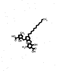 CCCCCCCCCCCCc1cc(Cc2cc(C)cc(C(=O)O)c2O)c(O)c(Cc2cc(C)cc(C(=O)O)c2O)c1